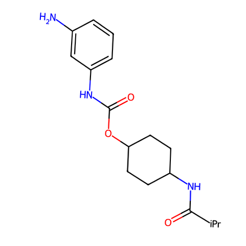 CC(C)C(=O)NC1CCC(OC(=O)Nc2cccc(N)c2)CC1